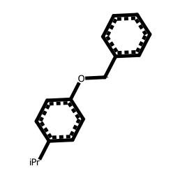 CC(C)c1ccc(O[CH]c2ccccc2)cc1